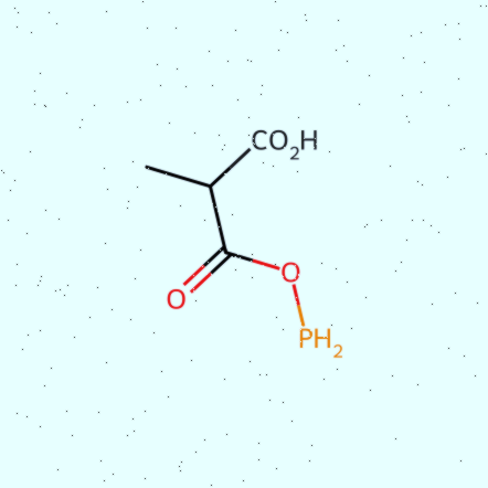 CC(C(=O)O)C(=O)OP